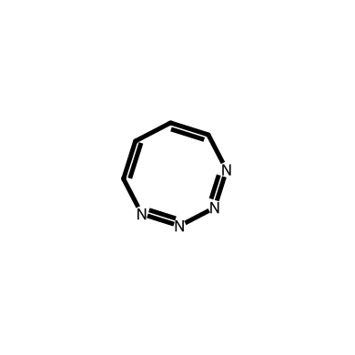 C1=C\N=N/N=N\C=C/1